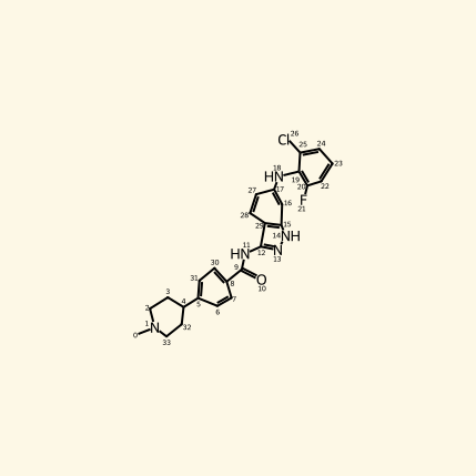 CN1CCC(c2ccc(C(=O)Nc3n[nH]c4cc(Nc5c(F)cccc5Cl)ccc34)cc2)CC1